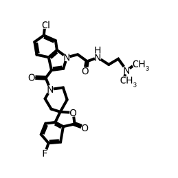 CN(C)CCNC(=O)Cn1cc(C(=O)N2CCC3(CC2)OC(=O)c2cc(F)ccc23)c2ccc(Cl)cc21